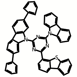 c1ccc(-c2ccc3c4ccc(-c5ccccc5)cc4n(-c4nc(-c5cccc6c5sc5ccccc56)nc(-n5c6ccccc6c6ccccc65)n4)c3c2)cc1